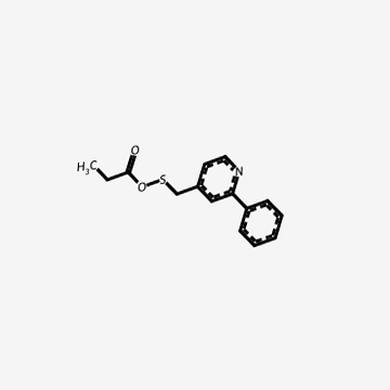 CCC(=O)OSCc1ccnc(-c2ccccc2)c1